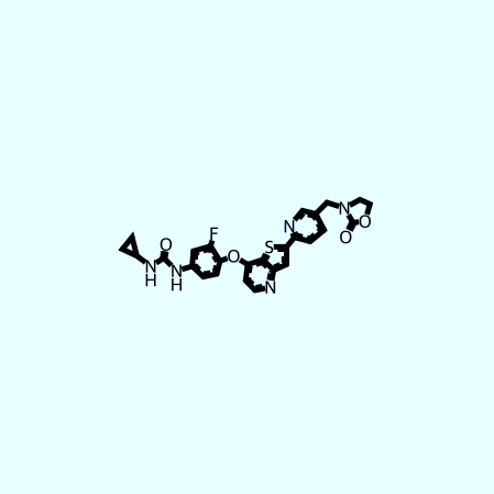 O=C(Nc1ccc(Oc2ccnc3cc(-c4ccc(CN5CCOC5=O)cn4)sc23)c(F)c1)NC1CC1